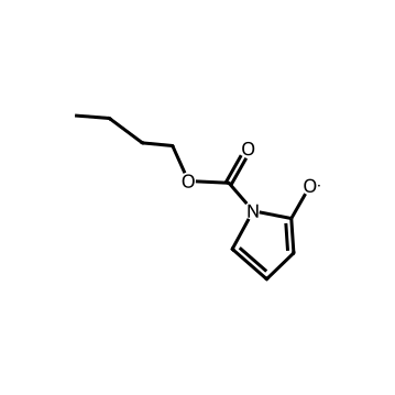 CCCCOC(=O)n1cccc1[O]